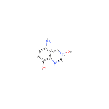 Nc1ccc(O)c2nc[n+]([O-])cc12